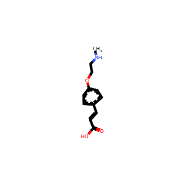 CNCCOc1ccc(/C=C/C(=O)O)cc1